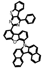 c1ccc(-c2nc(-c3cccc4oc5c(-n6c7ccc8ccccc8c7c7c8ccccc8ccc76)cccc5c34)nc3sc4ccccc4c23)cc1